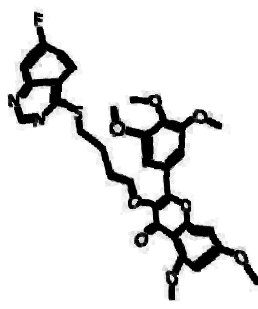 COc1cc(OC)c2c(=O)c(OCCCCSc3ncnc4cc(F)ccc34)c(-c3cc(OC)c(OC)c(OC)c3)oc2c1